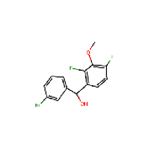 COc1c(F)ccc(C(O)c2cccc(Br)c2)c1F